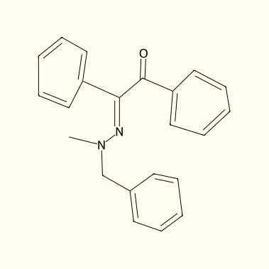 CN(Cc1ccccc1)/N=C(/C(=O)c1ccccc1)c1ccccc1